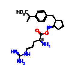 CC(C(=O)O)c1ccc(CC2CCCC2=NOC(=O)[C@@H](N)CCCNC(=N)N)cc1